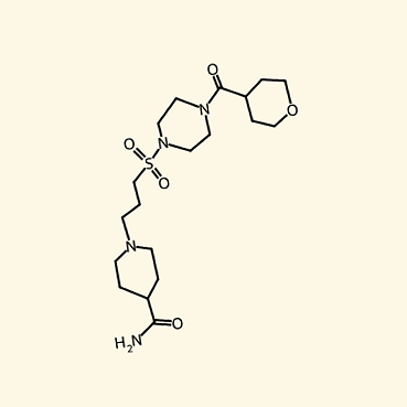 NC(=O)C1CCN(CCCS(=O)(=O)N2CCN(C(=O)C3CCOCC3)CC2)CC1